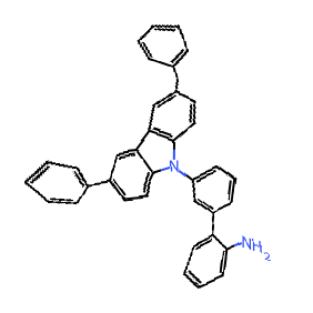 Nc1ccccc1-c1cccc(-n2c3ccc(-c4ccccc4)cc3c3cc(-c4ccccc4)ccc32)c1